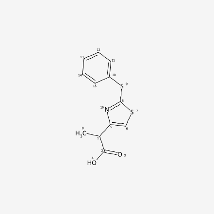 CC(C(=O)O)c1csc(Sc2ccccc2)n1